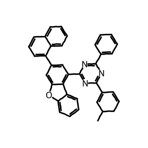 CC1C=C(c2nc(-c3ccccc3)nc(-c3cc(-c4cccc5ccccc45)cc4oc5ccccc5c34)n2)C=CC1